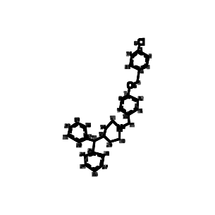 Clc1ccc(COc2ccc(CN3CCC(C(c4ccccc4)c4ccccc4)CC3)cc2)cc1